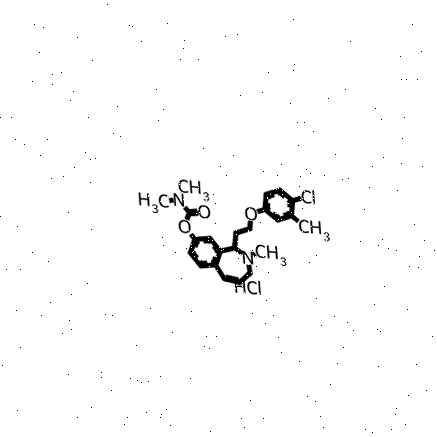 Cc1cc(OCCC2c3cc(OC(=O)N(C)C)ccc3C=CCN2C)ccc1Cl.Cl